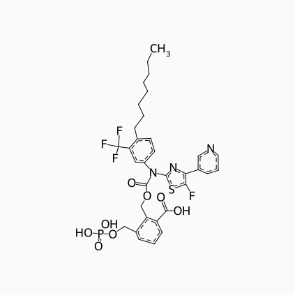 CCCCCCCCc1ccc(N(C(=O)OCc2c(COP(=O)(O)O)cccc2C(=O)O)c2nc(-c3cccnc3)c(F)s2)cc1C(F)(F)F